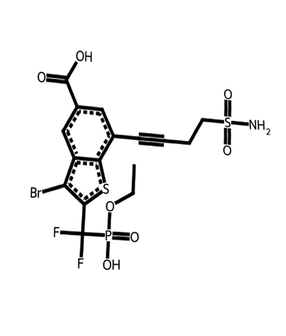 CCOP(=O)(O)C(F)(F)c1sc2c(C#CCCS(N)(=O)=O)cc(C(=O)O)cc2c1Br